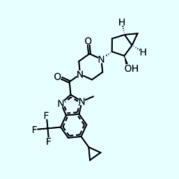 Cn1c(C(=O)N2CCN([C@@H]3C[C@H]4C[C@H]4[C@H]3O)C(=O)C2)nc2c(C(F)(F)F)cc(C3CC3)cc21